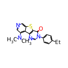 CCc1ccc(-n2cnc3c(sc4cncc(N(C)C)c43)c2=O)cc1